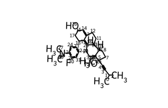 CC(C)C#C[C@]1(O)CC[C@H]2[C@@H]3CCC4=CC(O)CCC4=C3[C@@H](c3ccc(N(C)C)c(F)c3)C[C@@]21C